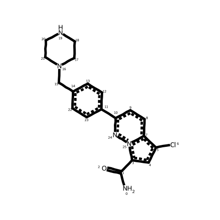 NC(=O)c1cc(Cl)c2ccc(-c3ccc(CN4CCNCC4)cc3)nn12